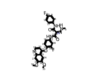 CN/N=C(\C(=O)Nc1ccc(F)cc1)C(=O)Nc1ccc(Oc2ccnc3cc(OC)c(OC)cc23)c(F)c1